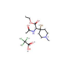 CCOC(=O)C(NC(C)=O)C1(S)CCN(C)CC1.O=C(O)C(F)(F)F